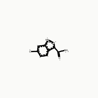 NC(=O)c1n[nH]c2cc(Cl)ccc12